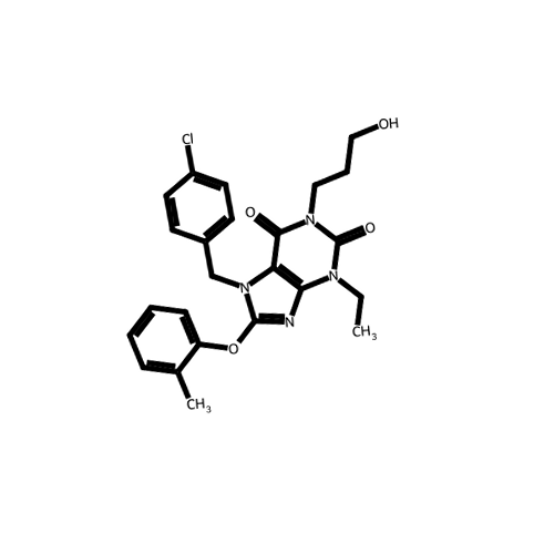 CCn1c(=O)n(CCCO)c(=O)c2c1nc(Oc1ccccc1C)n2Cc1ccc(Cl)cc1